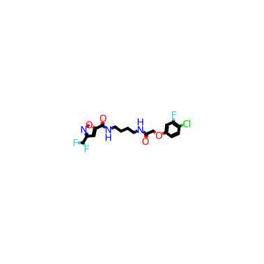 O=C(COc1ccc(Cl)c(F)c1)NCCCCNC(=O)c1cc(C(F)F)no1